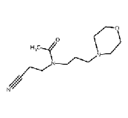 CC(=O)N(CCC#N)CCCN1CCOCC1